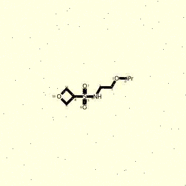 CC(C)OCCNS(=O)(=O)C1COC1